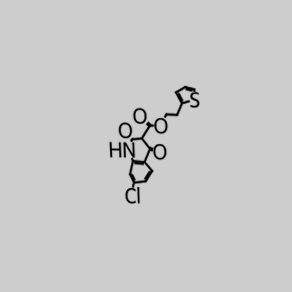 O=C1Nc2cc(Cl)ccc2C(=O)C1C(=O)OCCc1cccs1